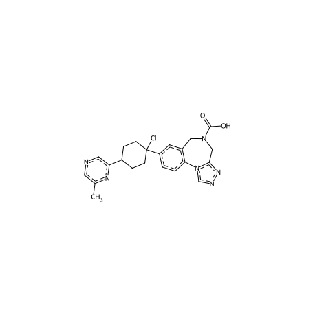 Cc1cncc(C2CCC(Cl)(c3ccc4c(c3)CN(C(=O)O)Cc3nncn3-4)CC2)n1